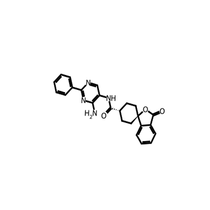 Nc1nc(-c2ccccc2)ncc1NC(=O)[C@H]1CC[C@@]2(CC1)OC(=O)c1ccccc12